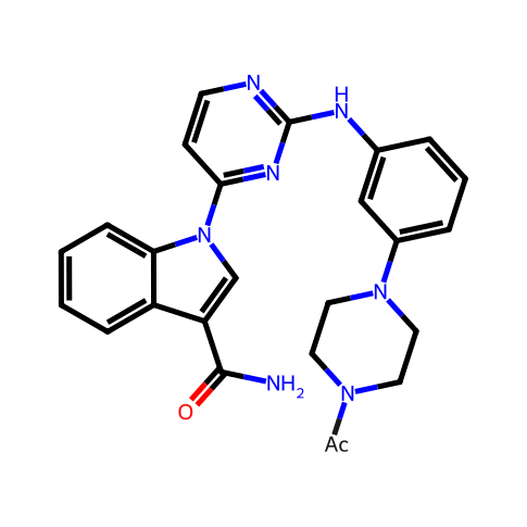 CC(=O)N1CCN(c2cccc(Nc3nccc(-n4cc(C(N)=O)c5ccccc54)n3)c2)CC1